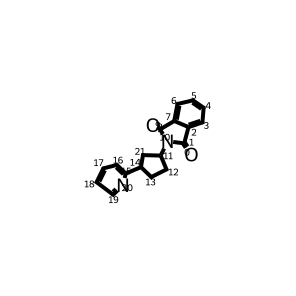 O=C1c2ccccc2C(=O)N1C1CCC(c2ccccn2)C1